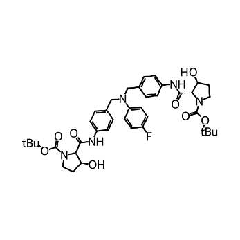 CC(C)(C)OC(=O)N1CC[C@H](O)C1C(=O)Nc1ccc(CN(Cc2ccc(NC(=O)[C@@H]3[C@@H](O)CCN3C(=O)OC(C)(C)C)cc2)c2ccc(F)cc2)cc1